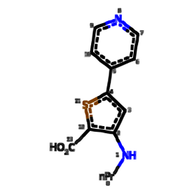 CCCNc1cc(-c2ccncc2)sc1C(=O)O